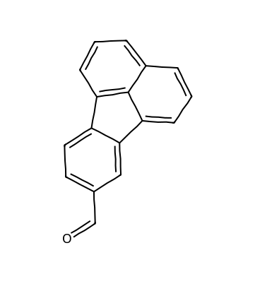 O=Cc1ccc2c(c1)-c1cccc3cccc-2c13